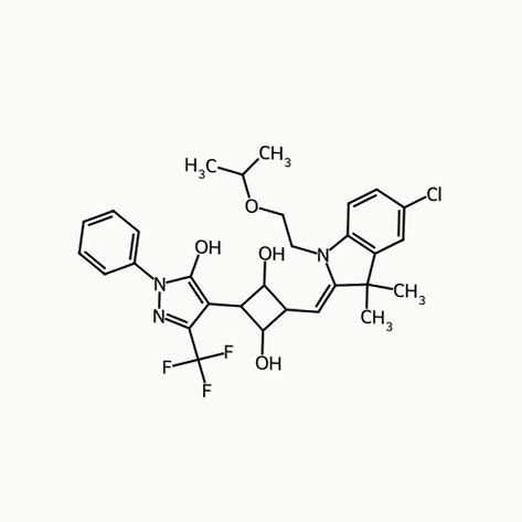 CC(C)OCCN1C(=CC2C(O)C(c3c(C(F)(F)F)nn(-c4ccccc4)c3O)C2O)C(C)(C)c2cc(Cl)ccc21